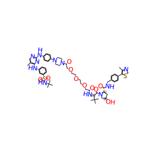 Cc1cnc(Nc2ccc(N3CCN(C(=O)COCCOCCOCC(=O)N[C@H](C(=O)N4C[C@H](O)C[C@H]4C(=O)NCc4ccc(-c5scnc5C)cc4)C(C)(C)C)CC3)cc2)nc1Nc1cccc(S(=O)(=O)NC(C)(C)C)c1